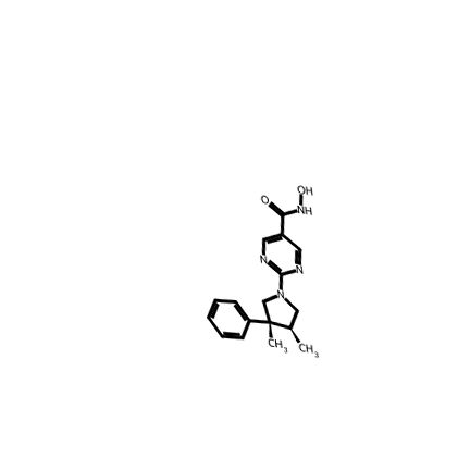 C[C@@H]1CN(c2ncc(C(=O)NO)cn2)C[C@@]1(C)c1ccccc1